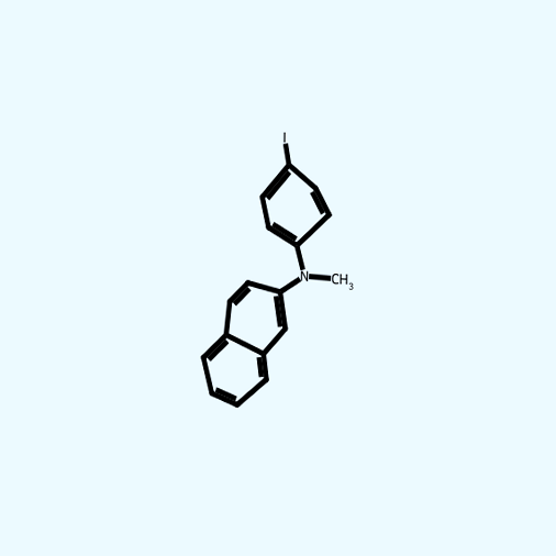 CN(c1ccc(I)cc1)c1ccc2ccccc2c1